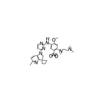 COc1cc(N(C)CCN(C)C)c([N+](=O)[O-])cc1Nc1nccc(N2CC3(CCC3)c3nc(C)ccc32)n1